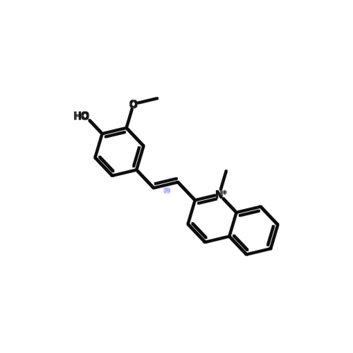 COc1cc(/C=C/c2ccc3ccccc3[n+]2C)ccc1O